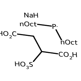 CCCCCCCC[P]CCCCCCCC.O=C(O)CC(C(=O)O)S(=O)(=O)O.[NaH]